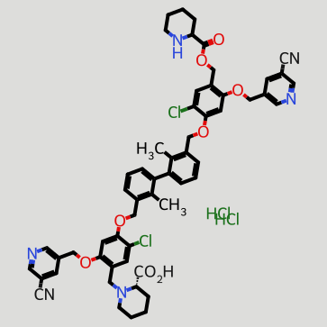 Cc1c(COc2cc(OCc3cncc(C#N)c3)c(COC(=O)C3CCCCN3)cc2Cl)cccc1-c1cccc(COc2cc(OCc3cncc(C#N)c3)c(CN3CCCC[C@H]3C(=O)O)cc2Cl)c1C.Cl.Cl